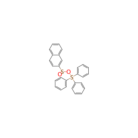 O=S(OS(c1ccccc1)(c1ccccc1)c1ccccc1)c1ccc2ccccc2c1